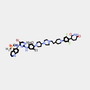 CCc1cc(Nc2ncc(Br)c(Nc3ccc4ncccc4c3P(C)(C)=O)n2)c(OC)cc1N1CCC(N2CCN(CCC3CCN(c4cc(F)c(C5CCC(=O)NC5=O)c(F)c4)CC3)CC2)CC1